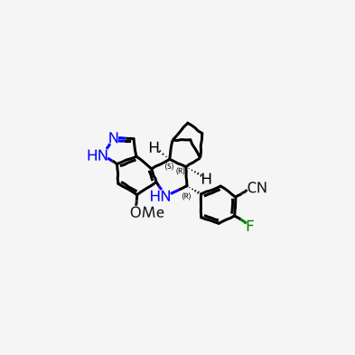 COc1cc2[nH]ncc2c2c1N[C@@H](c1ccc(F)c(C#N)c1)[C@@H]1C3CCC(C3)[C@H]21